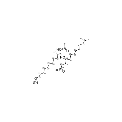 CC(=O)O.CC(C)CCCCCCCC(O)CCC(=O)O.CC(C)CCCCCCCCCOO